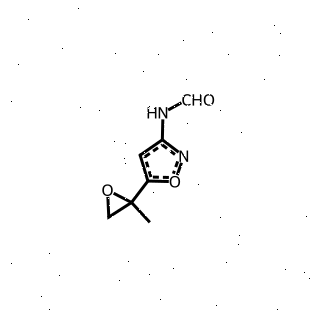 CC1(c2cc(NC=O)no2)CO1